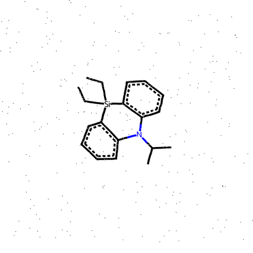 CC[Si]1(CC)c2ccccc2N(C(C)C)c2ccccc21